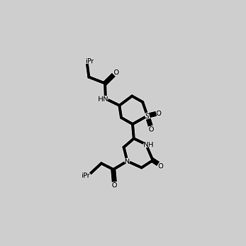 CC(C)CC(=O)NC1CCS(=O)(=O)C(C2CN(C(=O)CC(C)C)CC(=O)N2)C1